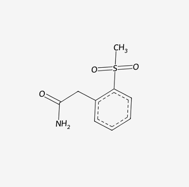 CS(=O)(=O)c1ccccc1CC(N)=O